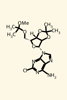 COC(C)(C)OC[C@H]1O[C@@H](n2cnc3c(N)nc(Cl)nc32)C2OC(C)(C)O[C@H]21